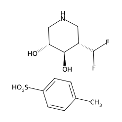 Cc1ccc(S(=O)(=O)O)cc1.O[C@H]1[C@H](O)CNC[C@@H]1C(F)F